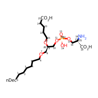 CCCCCCCCCCCCCCCCOC[C@H](CO[P@](=O)(O)OC[C@H](N)C(=O)O)OCCCCC(=O)O